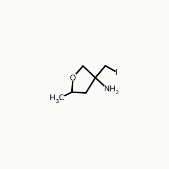 CC1CC(N)(CI)CO1